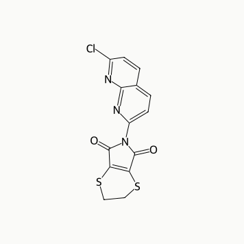 O=C1C2=C(SCCS2)C(=O)N1c1ccc2ccc(Cl)nc2n1